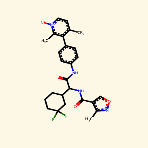 Cc1nocc1C(=O)NC(C(=O)Nc1ccc(-c2c(C(F)(F)F)cc[n+]([O-])c2C)cc1)C1CCCC(F)(F)C1